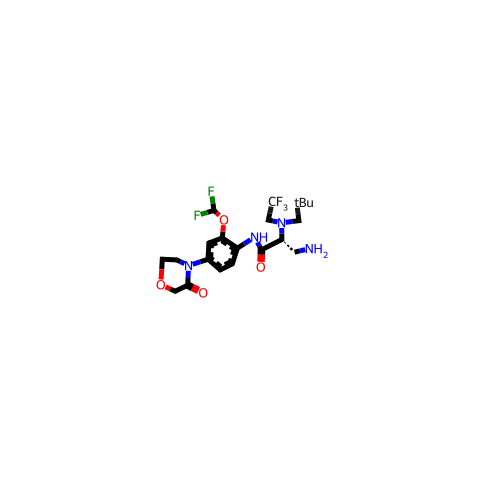 CC(C)(C)CN(CC(F)(F)F)[C@H](CN)C(=O)Nc1ccc(N2CCOCC2=O)cc1OC(F)F